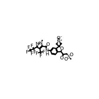 Cn1nc(C(F)(F)C(F)(F)F)c(C(F)(F)F)c1C(=O)Nc1ccc2c(c1)C1(C=[N+]([O-])C1)OC2C(=O)CS(C)(=O)=O